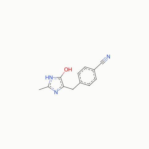 Cc1nc(Cc2ccc(C#N)cc2)c(O)[nH]1